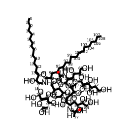 CCCCCCCCCCCCC/C=C/[C@H](O)[C@@H](CO[C@H](O)/C(O)=C(\O)[C@@H](CCO)O[C@@H]1OC(CO)[C@H](O[C@H](O)/C(NC(C)=O)=C(\O[C@H](O)/C(O)=C(\O)[C@@H](O)CCO)[C@@H](O)CCO)C(O[C@]2(C(=O)C(C)C)CC(O)[C@@H](NC(C)=O)C([C@H](O)[C@H](O)CO)O2)C1O)NC(=O)CCCCCCCCCCCCCCCCC